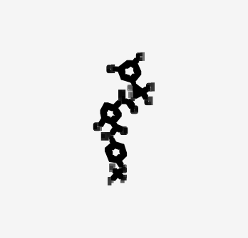 O=C(Nc1ccc(SC(F)(F)F)cc1)c1cc(NC(=O)[C@@H]2[C@@H](c3cc(Cl)cc(Cl)c3)C2(Cl)Cl)ccc1Cl